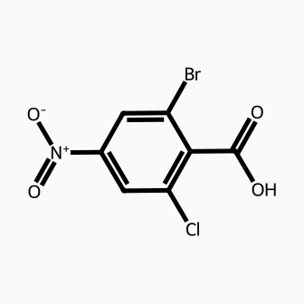 O=C(O)c1c(Cl)cc([N+](=O)[O-])cc1Br